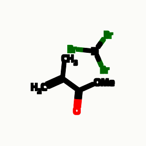 C=C(C)C(=O)OC.[Br][Bi]([Br])[Br]